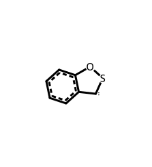 [C]1SOc2ccccc21